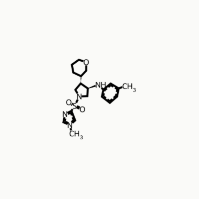 Cc1cccc(N[C@H]2CN(S(=O)(=O)c3cn(C)cn3)C[C@@H]2C2CCCOC2)c1